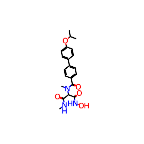 CNC(=O)C(C(=O)NO)N(C)C(=O)c1ccc(-c2ccc(OC(C)C)cc2)cc1